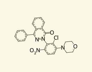 O=c1c2ccccc2c(-c2ccccc2)nn1-c1c([N+](=O)[O-])ccc(N2CCOCC2)c1Cl